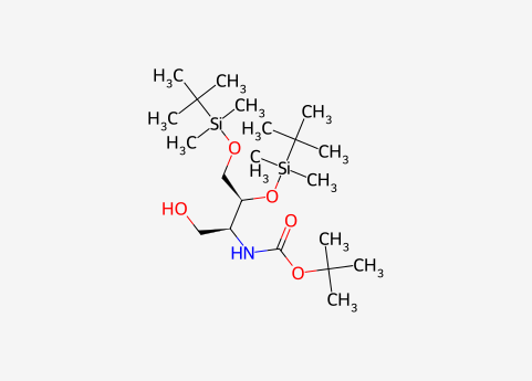 CC(C)(C)OC(=O)N[C@@H](CO)[C@@H](CO[Si](C)(C)C(C)(C)C)O[Si](C)(C)C(C)(C)C